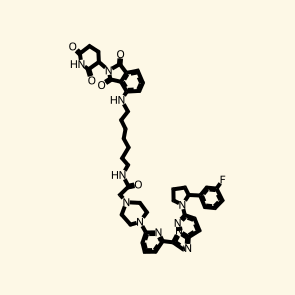 O=C(CN1CCN(c2cccc(-c3cnc4ccc(N5CCCC5c5cccc(F)c5)nn34)n2)CC1)NCCCCCCCNc1cccc2c1C(=O)N(C1CCC(=O)NC1=O)C2=O